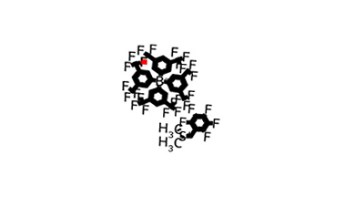 C[S+](C)Cc1c(F)c(F)c(F)c(F)c1F.FC(F)(F)c1cc([B-](c2cc(C(F)(F)F)cc(C(F)(F)F)c2)(c2cc(C(F)(F)F)cc(C(F)(F)F)c2)c2cc(C(F)(F)F)cc(C(F)(F)F)c2)cc(C(F)(F)F)c1